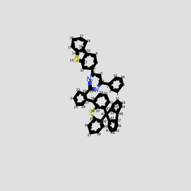 c1ccc(-c2cc(-c3ccc4c(c3)sc3ccccc34)nc(-c3ccccc3-c3cccc4c3Sc3ccccc3C43c4ccccc4-c4ccccc43)n2)cc1